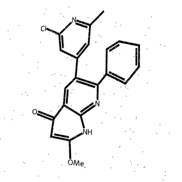 COc1cc(=O)c2cc(-c3cc(C)nc(Cl)c3)c(-c3ccccc3)nc2[nH]1